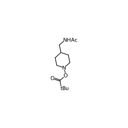 CC(=O)NCC1CCN(OC(=O)C(C)(C)C)CC1